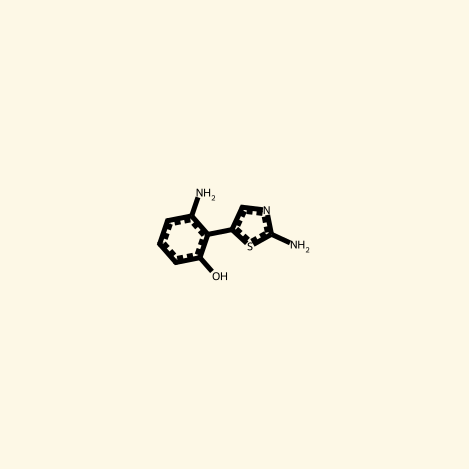 Nc1ncc(-c2c(N)cccc2O)s1